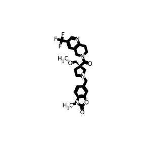 COC[C@]1(C(=O)N2CCc3ncc(C(F)(F)F)cc3C2)CCN(Cc2ccc3c(c2)oc(=O)n3C)C1